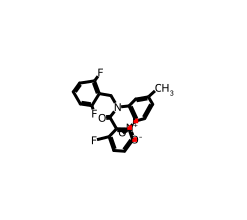 Cc1ccc([N+](=O)[O-])c(N(Cc2c(F)cccc2F)C(=O)c2c(F)cccc2F)c1